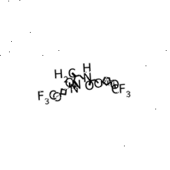 C=C(CCNC(=O)CO[C@@H]1CC[C@H](OC(F)(F)F)C1)c1nnc([C@H]2C[C@@H](OC(F)(F)F)C2)o1